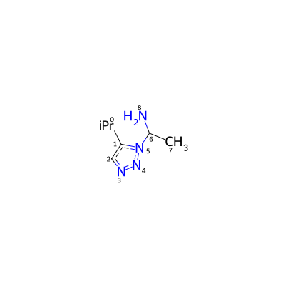 CC(C)c1cnnn1C(C)N